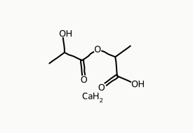 CC(O)C(=O)OC(C)C(=O)O.[CaH2]